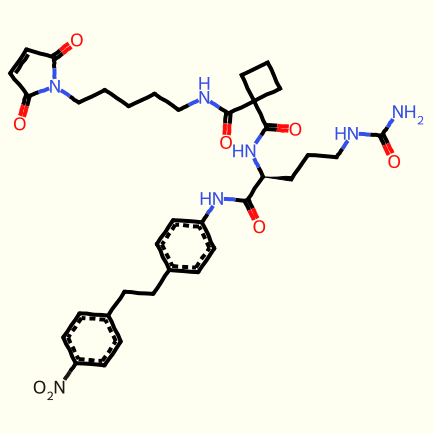 NC(=O)NCCC[C@H](NC(=O)C1(C(=O)NCCCCCN2C(=O)C=CC2=O)CCC1)C(=O)Nc1ccc(CCc2ccc([N+](=O)[O-])cc2)cc1